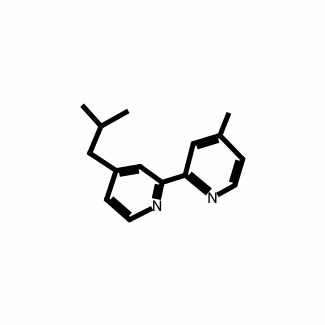 Cc1ccnc(-c2cc(CC(C)C)ccn2)c1